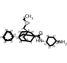 CCOC[C@]12CC3CC(C(=O)N[C@H]4CC[C@H](N)CC4)(C1)C[C@@](c1ccccc1)(C3)C2